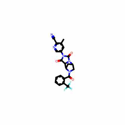 Cc1cc(N2C(=O)C3C4CC(CN4C(=O)c4ccccc4C(F)(F)F)N3C2=O)cnc1C#N